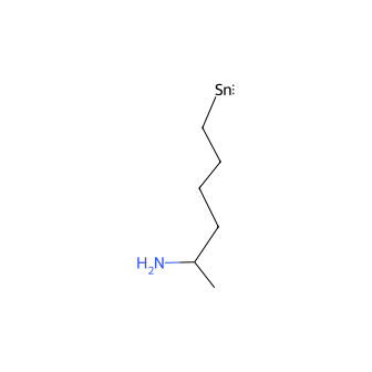 CC(N)CCC[CH2][Sn]